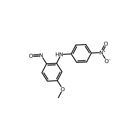 COc1ccc(N=O)c(Nc2ccc([N+](=O)[O-])cc2)c1